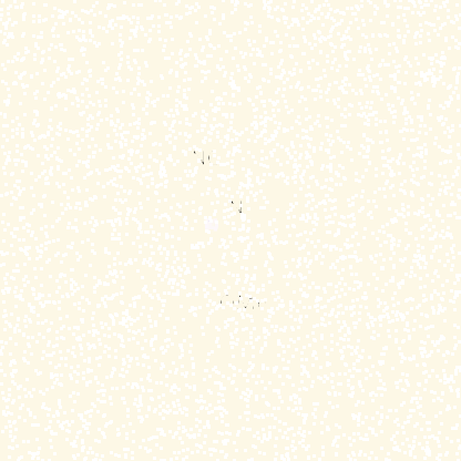 CO/C=N/C#N